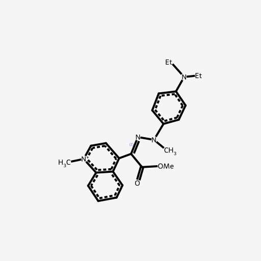 CCN(CC)c1ccc(N(C)/N=C(\C(=O)OC)c2cc[n+](C)c3ccccc23)cc1